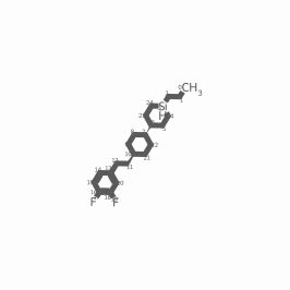 CCC[SiH]1CCC([C@H]2CC[C@H](CCc3ccc(F)c(F)c3)CC2)CC1